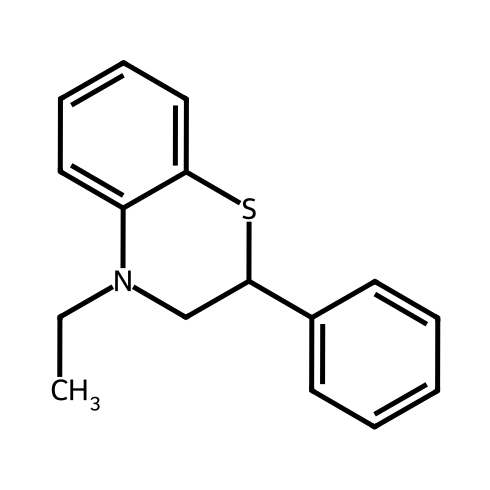 CCN1CC(c2ccccc2)Sc2ccccc21